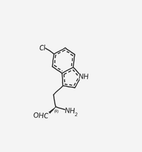 N[C@@H](C=O)Cc1c[nH]c2ccc(Cl)cc12